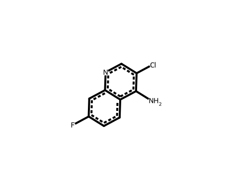 Nc1c(Cl)cnc2cc(F)ccc12